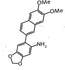 COc1cc2ccc(-c3cc4c(cc3N)OCO4)cc2cc1OC